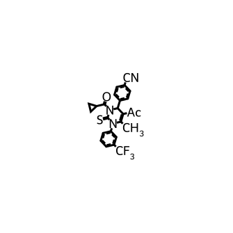 CC(=O)C1=C(C)N(c2cccc(C(F)(F)F)c2)C(=S)N(C(=O)C2CC2)C1c1ccc(C#N)cc1